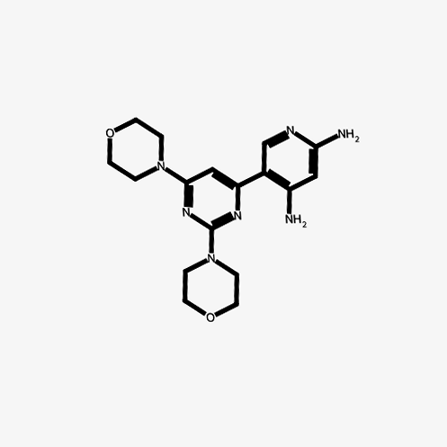 Nc1cc(N)c(-c2cc(N3CCOCC3)nc(N3CCOCC3)n2)cn1